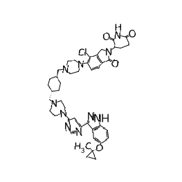 CC1(Oc2ccc3[nH]nc(-c4cc(N5CCN(C[C@H]6CC[C@H](CN7CCN(c8ccc9c(c8Cl)CN(C8CCC(=O)NC8=O)C9=O)CC7)CC6)CC5)ncn4)c3c2)CC1